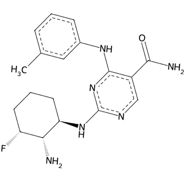 Cc1cccc(Nc2nc(N[C@@H]3CCC[C@@H](F)[C@H]3N)ncc2C(N)=O)c1